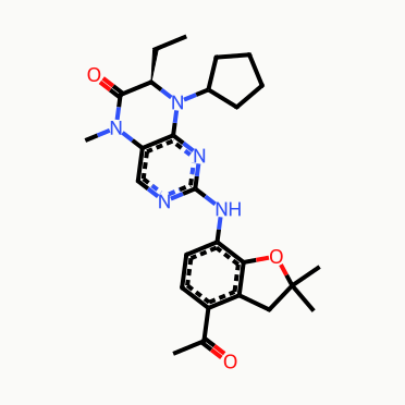 CC[C@@H]1C(=O)N(C)c2cnc(Nc3ccc(C(C)=O)c4c3OC(C)(C)C4)nc2N1C1CCCC1